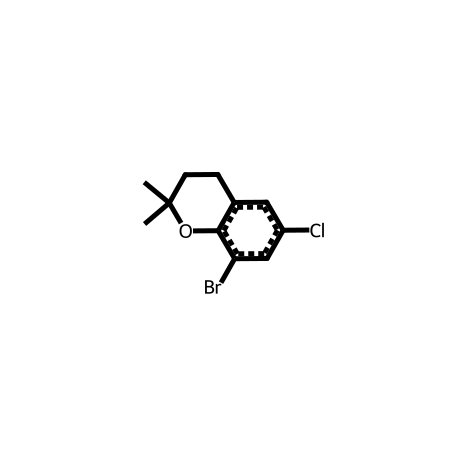 CC1(C)CCc2cc(Cl)cc(Br)c2O1